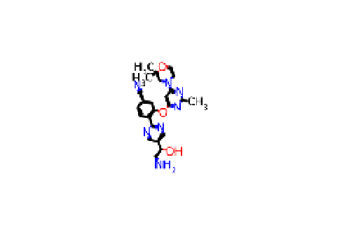 Cc1nc(Oc2cc(C#N)ccc2-c2ncc([C@H](O)CN)cn2)cc(N2CCOC(C)(C)C2)n1